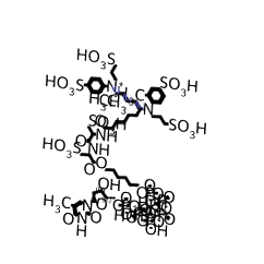 CC(/C=C/C=C(\CCCCCC(=O)NC(CS(=O)(=O)O)C(=O)NC(CS(=O)(=O)O)C(=O)OCCCCCCOP(=O)(O)OP(=O)(O)OP(=O)(O)OP(=O)(O)OP(=O)(O)OP(=O)(O)OC[C@H]1O[C@@H](n2cc(C)c(=O)[nH]c2=O)C[C@H]1O)N(CCCS(=O)(=O)O)c1ccc(S(=O)(=O)O)cc1C)=[N+](/CCCS(=O)(=O)O)c1ccc(S(=O)(=O)O)cc1C